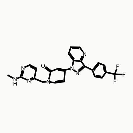 CNc1nccc(Cn2ccc(-n3nc(-c4ccc(C(F)(F)F)cc4)c4ncccc43)cc2=O)n1